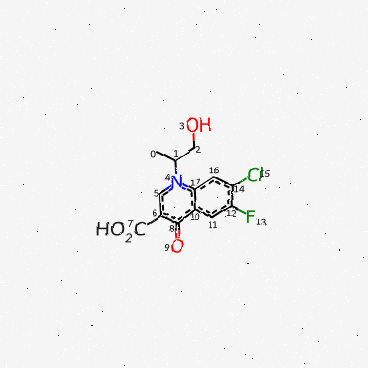 CC(CO)n1cc(C(=O)O)c(=O)c2cc(F)c(Cl)cc21